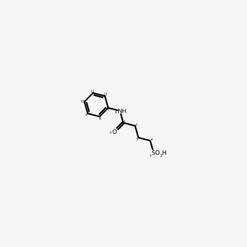 O=C(CCCS(=O)(=O)O)Nc1ccccc1